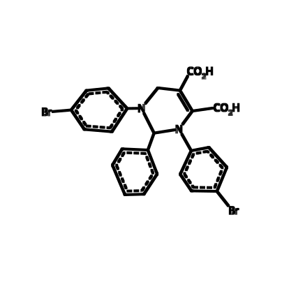 O=C(O)C1=C(C(=O)O)N(c2ccc(Br)cc2)C(c2ccccc2)N(c2ccc(Br)cc2)C1